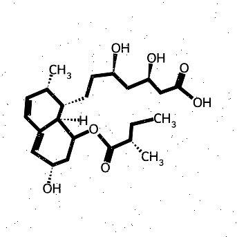 CC[C@H](C)C(=O)OC1C[C@H](O)C=C2C=C[C@H](C)[C@H](CC[C@@H](O)C[C@@H](O)CC(=O)O)[C@H]21